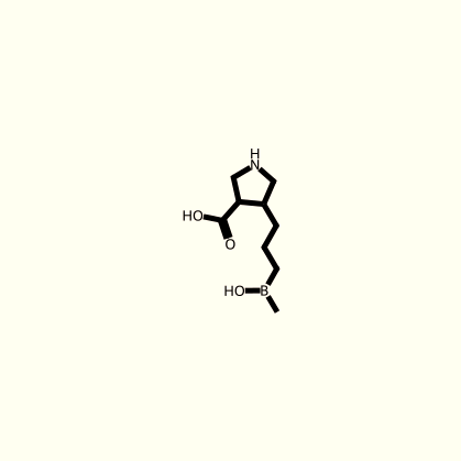 CB(O)CCCC1CNCC1C(=O)O